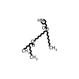 CCCCCCCCCC(CCCCCCCCOC(=O)CC(CCCC)CCCCCC)OC(=O)CC1CCNCC1